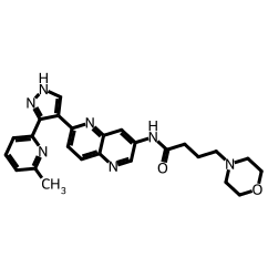 Cc1cccc(-c2n[nH]cc2-c2ccc3ncc(NC(=O)CCCN4CCOCC4)cc3n2)n1